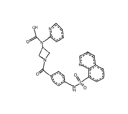 O=C(c1ccc(NS(=O)(=O)c2cccc3cccnc23)cc1)N1CC(N(C(=O)O)c2ccccn2)C1